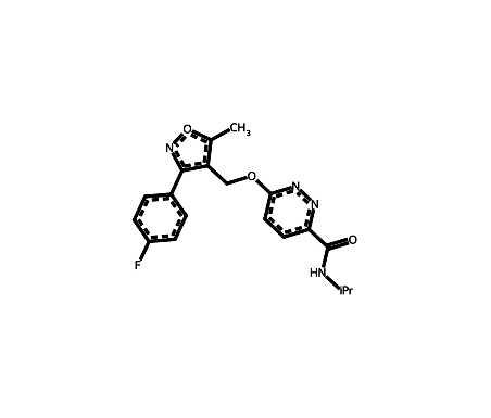 Cc1onc(-c2ccc(F)cc2)c1COc1ccc(C(=O)NC(C)C)nn1